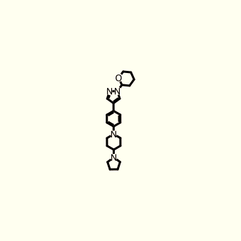 c1cc(N2CCC(N3CCCC3)CC2)ccc1-c1cnn(C2CCCCO2)c1